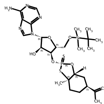 C=C(C)[C@H]1CC[C@@]2(C)S[P@](=S)(O[C@H]3[C@@H](O)[C@H](n4cnc5c(N)ncnc54)O[C@@H]3CO[Si](C)(C)C(C)(C)C)O[C@@H]2C1